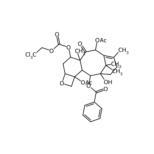 CC(=O)OC1C(=O)C2(C)C(OC(=O)OCC(Cl)(Cl)Cl)CC3OCC3(OC(C)=O)C2C(OC(=O)c2ccccc2)C2(O)C[C]C(C)=C1C2(C)C